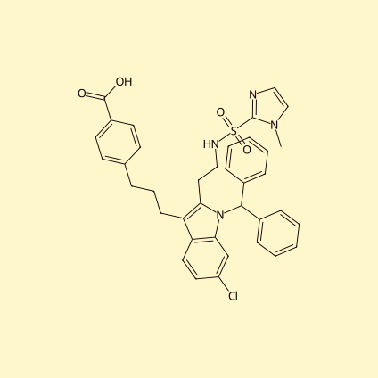 Cn1ccnc1S(=O)(=O)NCCc1c(CCCc2ccc(C(=O)O)cc2)c2ccc(Cl)cc2n1C(c1ccccc1)c1ccccc1